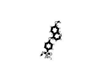 CN=S(N)(=O)c1ccc(Oc2ccnc3cc(OC)ccc23)cc1